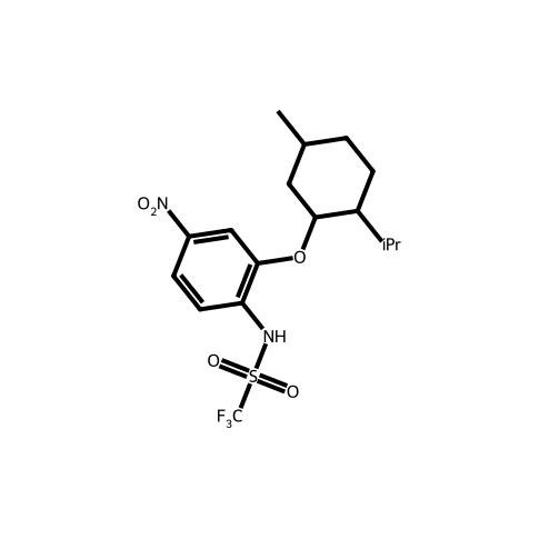 CC1CCC(C(C)C)C(Oc2cc([N+](=O)[O-])ccc2NS(=O)(=O)C(F)(F)F)C1